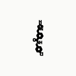 O=C(NCc1ccc(Cl)cc1)c1cccc(Cc2c[nH]cn2)c1